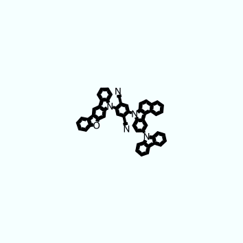 N#Cc1cc(-n2c3ccc(-n4c5ccccc5c5ccccc54)cc3c3c4ccccc4ccc32)c(C#N)cc1-n1c2ccccc2c2cc3c(cc21)oc1ccccc13